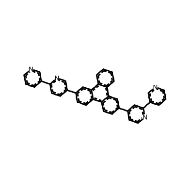 c1cncc(-c2ccc(-c3ccc4c5ccc(-c6ccnc(-c7cccnc7)c6)cc5c5ccccc5c4c3)cn2)c1